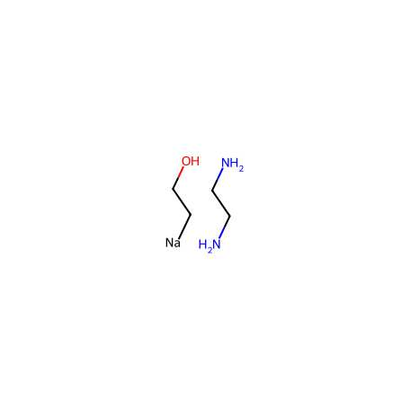 NCCN.OC[CH2][Na]